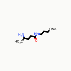 COCCCNC(=O)CCC(N)C(=O)O